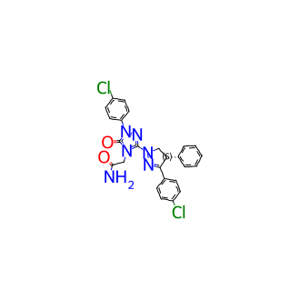 NC(=O)Cn1c(N2C[C@H](c3ccccc3)C(c3ccc(Cl)cc3)=N2)nn(-c2ccc(Cl)cc2)c1=O